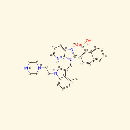 Cc1cccc2c1c(Cn1c(-c3ccc4ccccc4c3C(=O)O)nc3cccnc31)cn2CCN1CCNCC1